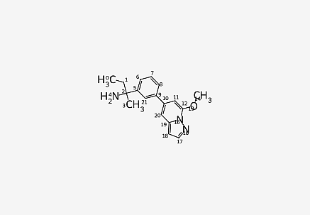 CCC(C)(N)c1cccc(-c2cc(OC)n3nccc3c2)c1